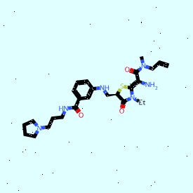 C=CCN(C)C(=O)/C(N)=C1\S[C@H](CNc2cccc(C(=O)NCCCN3CCCC3)c2)C(=O)N1CC